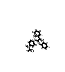 CC(=O)N(C)c1ccc(Nc2nc3ccccc3nc2-c2ccccn2)cc1